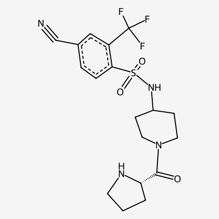 N#Cc1ccc(S(=O)(=O)NC2CCN(C(=O)[C@@H]3CCCN3)CC2)c(C(F)(F)F)c1